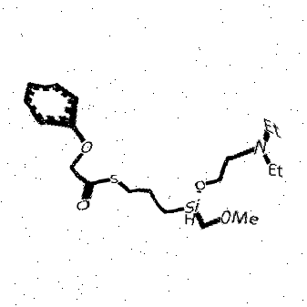 CCN(CC)CCO[SiH](CCCSC(=O)COc1ccccc1)COC